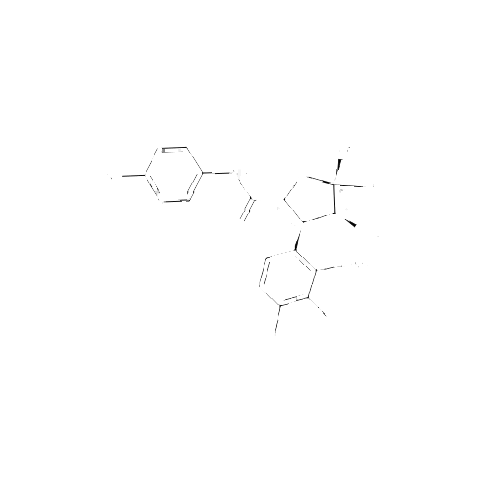 COc1c([C@H]2[C@H](C(=O)Nc3ccc(C#N)nc3)O[C@@](C)(C(F)(F)F)[C@H]2C)ccc(F)c1F